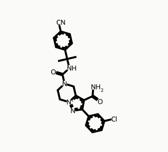 CC(C)(NC(=O)N1CCn2nc(-c3cccc(Cl)c3)c(C(N)=O)c2C1)c1ccc(C#N)cc1